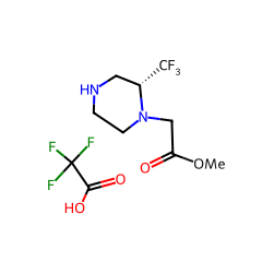 COC(=O)CN1CCNC[C@@H]1C(F)(F)F.O=C(O)C(F)(F)F